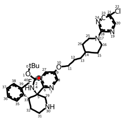 CC(C)(C)OC(=O)N[C@@]1(c2ncc(OCCCC3CCN(c4ncc(Cl)cn4)CC3)cn2)CNCC[C@@H]1c1ccccc1F